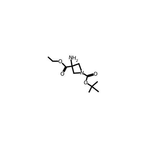 CCOC(=O)C1(N)CN(C(=O)OC(C)(C)C)C1